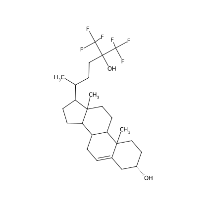 CC(CCC(O)(C(F)(F)F)C(F)(F)F)C1CCC2C3CC=C4C[C@@H](O)CCC4(C)C3CCC12C